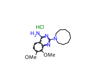 COc1ccc2c(N)nc(N3CCCCCCCC3)nc2c1OC.Cl